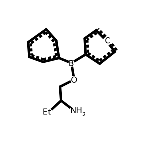 CCC(N)COB(c1ccccc1)c1ccccc1